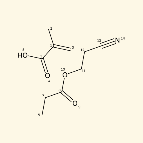 C=C(C)C(=O)O.CCC(=O)OCCC#N